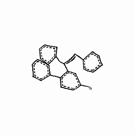 Brc1ccc(-c2ccccc2)c(/C(=C\c2ccccc2)c2ccccc2)c1